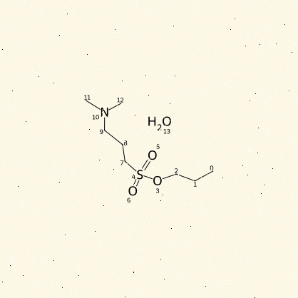 CCCOS(=O)(=O)CCCN(C)C.O